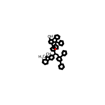 CC1(C)c2ccccc2-c2ccc(C(Cc3ccc(-c4ccccc4)cc3-c3ccccc3)c3ccc(-c4ccc(O)c5c4C(c4ccccc4)(c4ccccc4)c4ccccc4-5)cc3)cc21